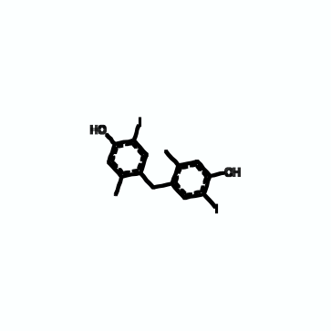 Cc1cc(O)c(I)cc1Cc1cc(I)c(O)cc1C